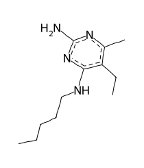 CCCCCNc1nc(N)nc(C)c1CC